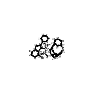 C[N](C)[Zr]([CH]1C(c2ccccc2)=Cc2cccc(Br)c21)([CH]1c2cc3cc(ccc31)sc1cccc2c1)[N](C)C